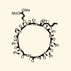 C/C=C/C[C@@H](C)[C@@H](O)[C@H]1C(=O)N[C@@H](CC)C(=O)N(C)[C@H](COCCC(OC)OC)C(=O)N(C)[C@@H](CC(C)C)C(=O)N[C@@H](C(C)C)C(=O)N(C)[C@@H](CC(C)C)C(=O)N[C@@H](C)C(=O)N[C@H](C)C(=O)N(C)[C@@H](CC(C)C)C(=O)N(C)[C@@H](CC(C)C)C(=O)N(C)[C@@H](C(C)C)C(=O)N1C